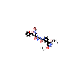 COc1cc(-c2cccc(C(=O)NCNC(=O)[C@H](CCc3ccccc3)CN(O)C=O)c2)c(OC)nn1